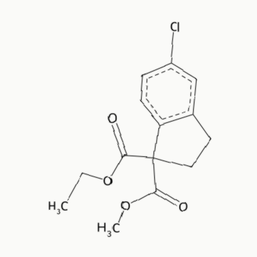 CCOC(=O)C1(C(=O)OC)CCc2cc(Cl)ccc21